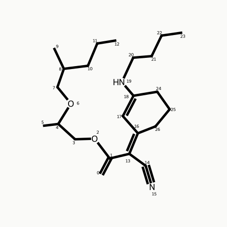 C=C(OCC(C)OCC(C)CCC)/C(C#N)=C1\C=C(NCCCC)CCC1